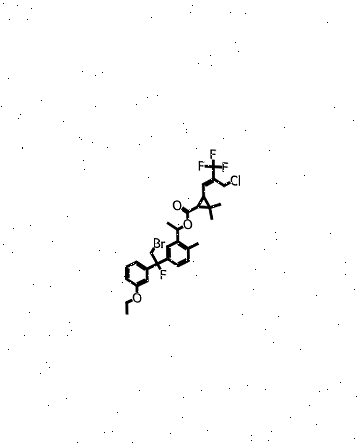 CCOc1cccc(C(F)(CBr)c2ccc(C)c(C(C)OC(=O)C3C(C=C(CCl)C(F)(F)F)C3(C)C)c2)c1